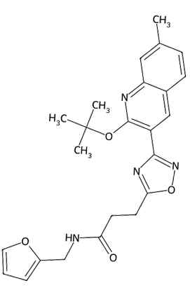 Cc1ccc2cc(-c3noc(CCC(=O)NCc4ccco4)n3)c(OC(C)(C)C)nc2c1